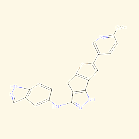 COc1ccc(-c2cc3c(s2)Cc2c(Nc4ccc5[nH]ncc5c4)n[nH]c2-3)cn1